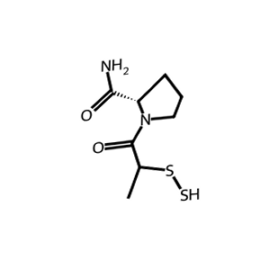 CC(SS)C(=O)N1CCC[C@H]1C(N)=O